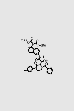 Cc1ccc(N2CCN(C(=O)c3ccccc3)C(C(O)C(=O)Nc3ccc4c(N(C(=O)OC(C)(C)C)C(=O)OC(C)(C)C)nccc4c3)C2=O)cc1